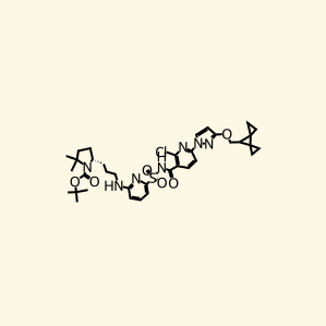 CC(C)(C)OC(=O)N1[C@@H](CCCNc2cccc(S(=O)(=O)NC(=O)c3ccc(-n4ccc(OCC5C6(CC6)C56CC6)n4)nc3Cl)n2)CCC1(C)C